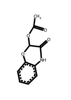 CC(=O)OC1Oc2ccccc2NC1=O